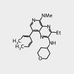 C/C=C\C(=C/C)c1cnc(NC)c2nc(CC)c(NC3CCOCC3)nc12